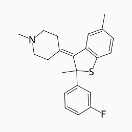 Cc1ccc2c(c1)C(=C1CCN(C)CC1)C(C)(c1cccc(F)c1)S2